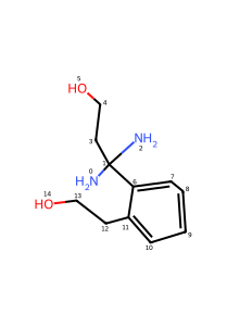 NC(N)(CCO)c1ccccc1CCO